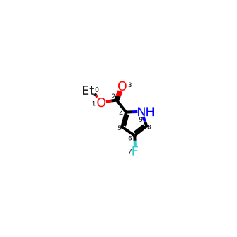 CCOC(=O)c1cc(F)c[nH]1